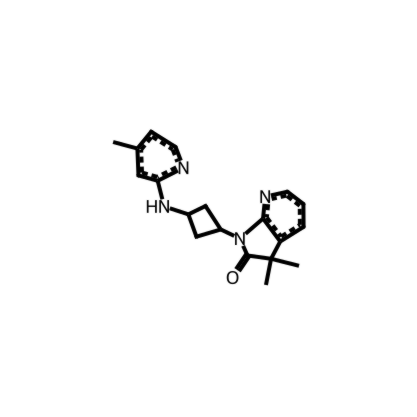 Cc1ccnc(NC2CC(N3C(=O)C(C)(C)c4cccnc43)C2)c1